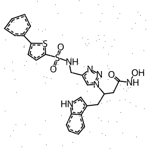 O=C(CC(Cc1c[nH]c2ccccc12)n1cc(CNS(=O)(=O)c2ccc(-c3ccccc3)s2)nn1)NO